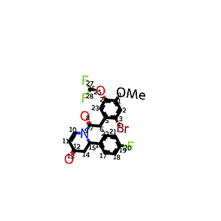 COc1cc(Br)c(CC(=O)N2C=CC(=O)CC2c2ccc(F)cc2)cc1OC(F)F